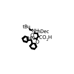 CCCCCCCCCC[C@@H](C(=O)NCC(C)(C)C)C(C(=O)O)C(=O)NC(c1ccccc1)c1ccccc1